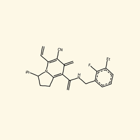 C=CC1=C(C#N)C(=C)C(C(=C)NCc2cccc(CC)c2F)=C2CCC(C(C)C)N12